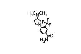 CN(C)C1CCN(c2ccc(C(N)=O)cc2C(F)(F)F)C1